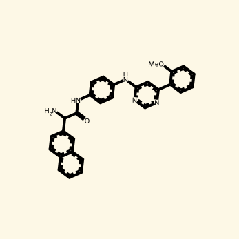 COc1ccccc1-c1cc(Nc2ccc(NC(=O)C(N)c3ccc4ccccc4c3)cc2)ncn1